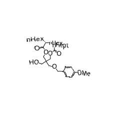 CCCCCCCC(=O)OCC(CO)(COCc1ccc(OC)cc1)COC(=O)C(CCCCCC)CCCCCC